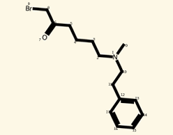 CN(CCCCC(=O)CBr)CCc1ccccc1